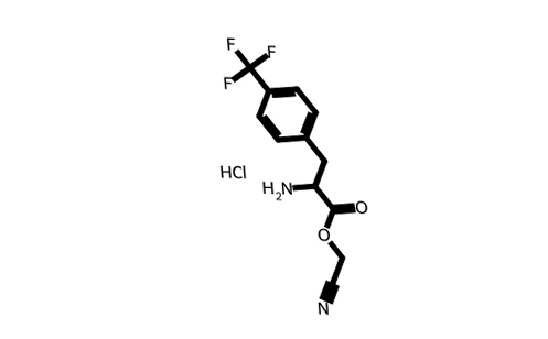 Cl.N#CCOC(=O)C(N)Cc1ccc(C(F)(F)F)cc1